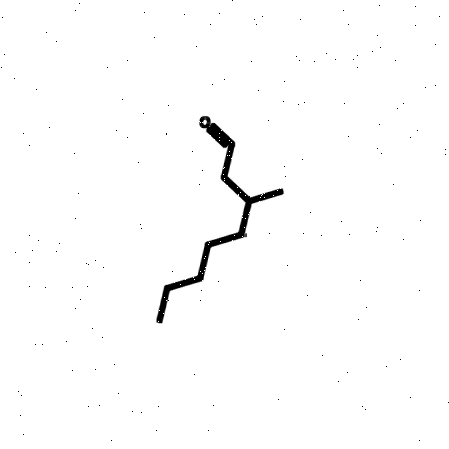 CCCC[CH]C(C)CC=O